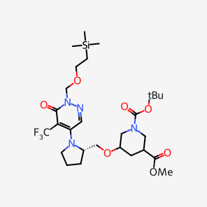 COC(=O)C1CC(OC[C@@H]2CCCN2c2cnn(COCC[Si](C)(C)C)c(=O)c2C(F)(F)F)CN(C(=O)OC(C)(C)C)C1